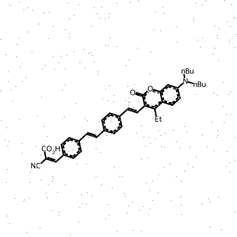 CCCCN(CCCC)c1ccc2c(CC)c(/C=C/c3ccc(/C=C/c4ccc(/C=C(/C#N)C(=O)O)cc4)cc3)c(=O)oc2c1